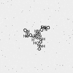 Oc1cc(NC2=NC3=NC(Nc4ccc(-c5nc6ccccc6[nH]5)c(O)c4)=NC4=NC(Nc5ccc(-c6nc7ccccc7[nH]6)c(O)c5)=NC(=N2)N34)ccc1-c1nc2ccccc2[nH]1